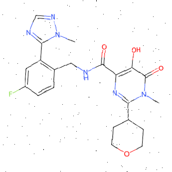 Cn1ncnc1-c1cc(F)ccc1CNC(=O)c1nc(C2CCOCC2)n(C)c(=O)c1O